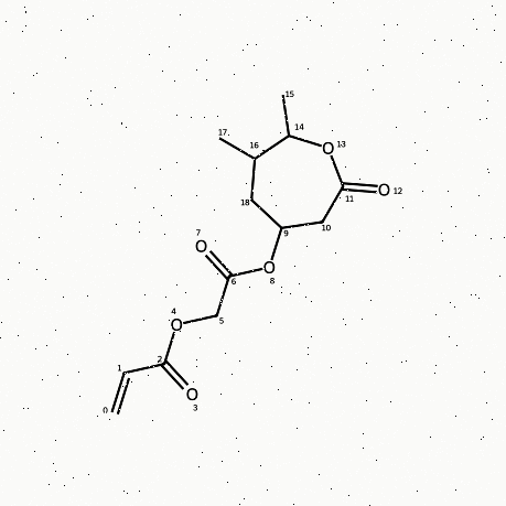 C=CC(=O)OCC(=O)OC1CC(=O)OC(C)C(C)C1